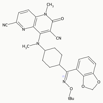 CN(c1c(C#N)c(=O)n(C)c2ccc(C#N)nc12)C1CCC(/C(=N/OC(C)(C)C)c2cccc3c2OCO3)CC1